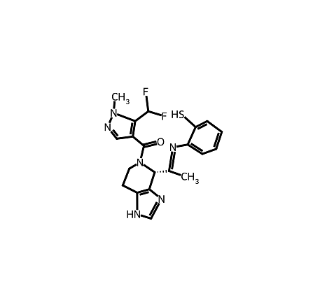 C/C(=N\c1ccccc1S)[C@@H]1c2nc[nH]c2CCN1C(=O)c1cnn(C)c1C(F)F